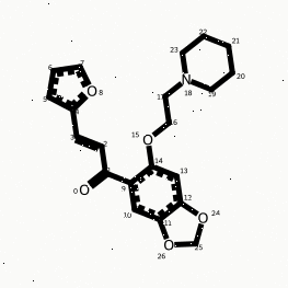 O=C(/C=C/c1ccco1)c1cc2c(cc1OCCN1CCCCC1)OCO2